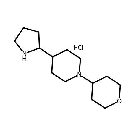 C1CNC(C2CCN(C3CCOCC3)CC2)C1.Cl